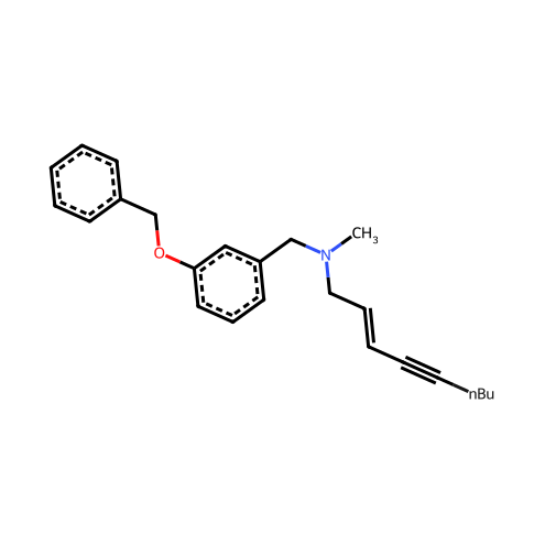 CCCCC#C/C=C/CN(C)Cc1cccc(OCc2ccccc2)c1